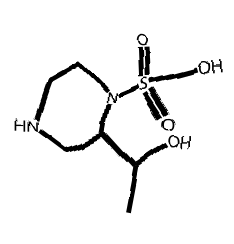 CC(O)C1CNCCN1S(=O)(=O)O